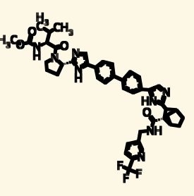 COC(=O)N[C@H](C(=O)N1CCC[C@H]1c1ncc(-c2ccc(-c3ccc(-c4cnc(C5C6CCC(C6)[C@@H]5C(=O)NCc5ccc(C(F)(F)F)nc5)[nH]4)cc3)cc2)[nH]1)C(C)C